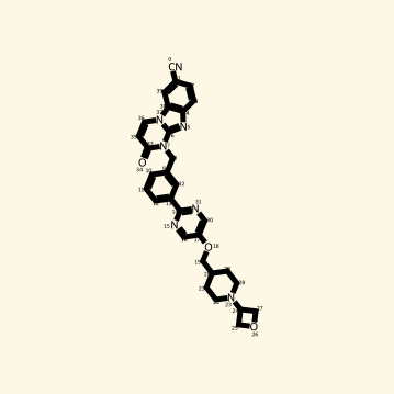 N#Cc1ccc2nc3n(Cc4cccc(-c5ncc(OCC6CCN(C7COC7)CC6)cn5)c4)c(=O)ccn3c2c1